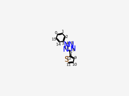 c1ccc(-n2nnc(-c3cccs3)n2)cc1